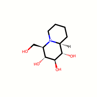 OC[C@@H]1[C@@H](O)[C@H](O)[C@@H](O)[C@@H]2CCCCN12